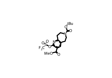 COC(=O)c1cc2c(nc1OS(=O)(=O)C(F)(F)F)CCN(C(=O)OC(C)(C)C)CC2